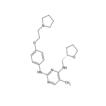 Cc1cnc(Nc2ccc(OCCN3CCCC3)cc2)nc1NC[C@@H]1CCCO1